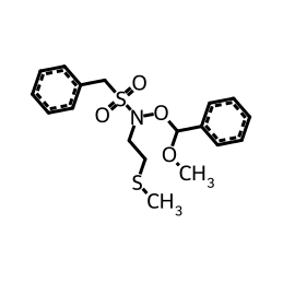 COC(ON(CCSC)S(=O)(=O)Cc1ccccc1)c1ccccc1